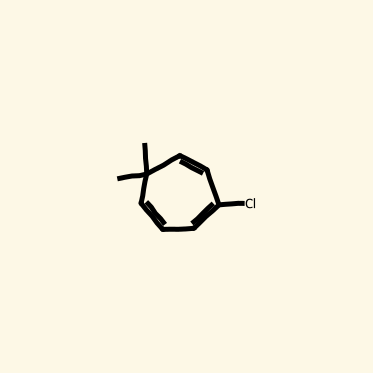 CC1(C)C=CC=C(Cl)C=C1